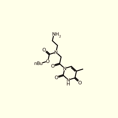 CCCCOC(=O)N(CCN)CC(=O)n1cc(C)c(=O)[nH]c1=O